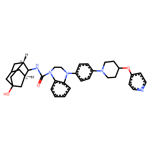 O=C(NC1[C@@H]2CC3C[C@H]1CC(O)(C3)C2)N1CCN(c2ccc(N3CCC(Oc4ccncc4)CC3)cc2)c2ccccc21